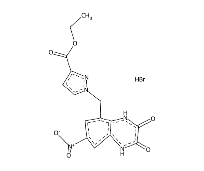 Br.CCOC(=O)c1ccn(Cc2cc([N+](=O)[O-])cc3[nH]c(=O)c(=O)[nH]c23)n1